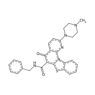 CN1CCN(c2ccc3c(=O)c(C(=O)NCc4ccccc4)c4sc5ccccc5n4c3n2)CC1